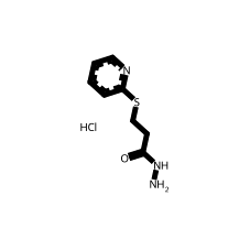 Cl.NNC(=O)CCSc1ccccn1